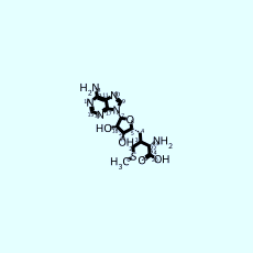 CSCC(C[C@H]1O[C@@H](n2cnc3c(N)ncnc32)[C@H](O)[C@@H]1O)[C@H](N)C(=O)O